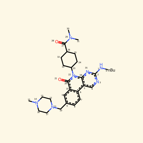 CCCCNc1ncc2c3ccc(CN4CCN(C)CC4)cc3c(=O)n(C3CCC(C(=O)N(C)C)CC3)c2n1